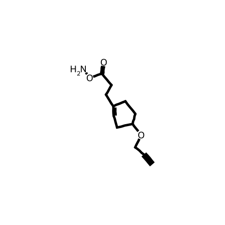 C#CCOC1CC=C(CCC(=O)ON)CC1